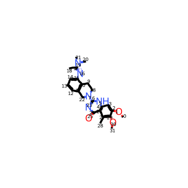 COc1cc2[nH]c(N3CCc4c(cccc4/N=C(\C)N(C)C)C3)nc(=O)c2c(C)c1OC